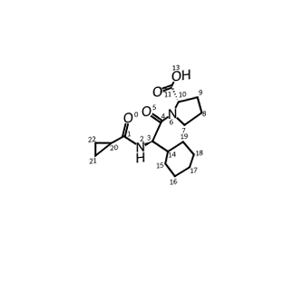 O=C(N[C@@H](C(=O)N1CCC[C@H]1C(=O)O)C1CCCCC1)C1CC1